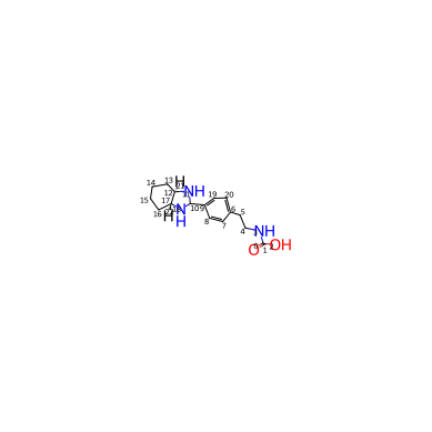 O=C(O)NCCc1ccc(C2N[C@@H]3CCCC[C@H]3N2)cc1